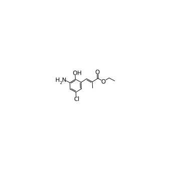 CCOC(=O)/C(C)=C/c1cc(Cl)cc(N)c1O